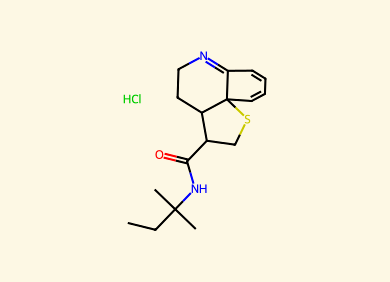 CCC(C)(C)NC(=O)C1CSC23C=CC=CC2=NCCC13.Cl